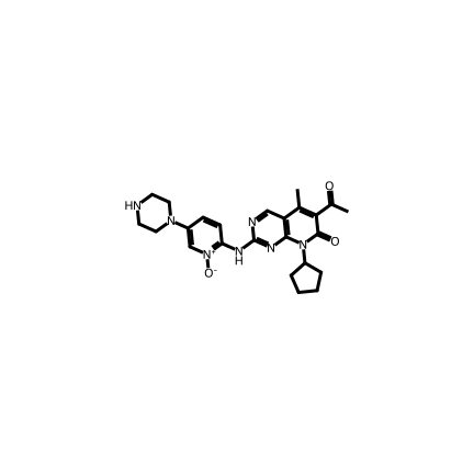 CC(=O)c1c(C)c2cnc(Nc3ccc(N4CCNCC4)c[n+]3[O-])nc2n(C2CCCC2)c1=O